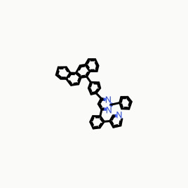 c1ccc(-c2nc(-c3ccc(-c4c5ccccc5cc5c4ccc4ccccc45)cc3)cc(-c3ccccc3-c3cccnc3)n2)cc1